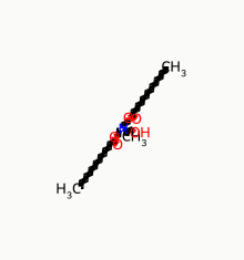 CCCCCCCCCCCCCCCC(=O)OCCN(CCOC(=O)CCCCCCCCCCCCCCC)C(C)CO